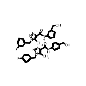 Cc1c(C(=O)Nc2ccc(CO)cc2)nnn1Cc1ccc(F)cc1.Cc1c(C(=O)Nc2cccc(CO)c2)nnn1Cc1cccc(F)c1